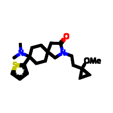 COC1(CCN2CC3(CCC(c4cccs4)(N(C)C)CC3)CC2=O)CC1